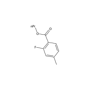 CCCOC(=O)c1ccc(C)cc1F